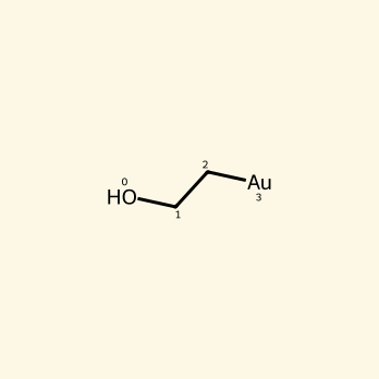 OC[CH2][Au]